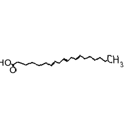 CCCCCCC=CCC=CCC=CCCCCCC(=O)O